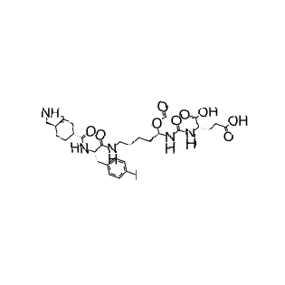 NC[C@H]1CC[C@H](C(=O)N[C@@H](Cc2ccc(I)cc2)C(=O)NCCCC[C@H](NC(=O)N[C@@H](CCC(=O)O)C(=O)O)OC=O)CC1